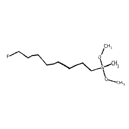 CO[Si](C)(CCCCCCCCF)OC